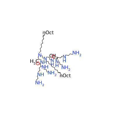 CCCCCCCC/C=C/CCCCCCCCN(CCN(CCCCCCCC/C=C/CCCCCCCC)CC(C)CNC(=O)C(CCCNCCCCN)NCCCN)CC(C)CNC(=O)C(CCCNCCCN)NCCCN